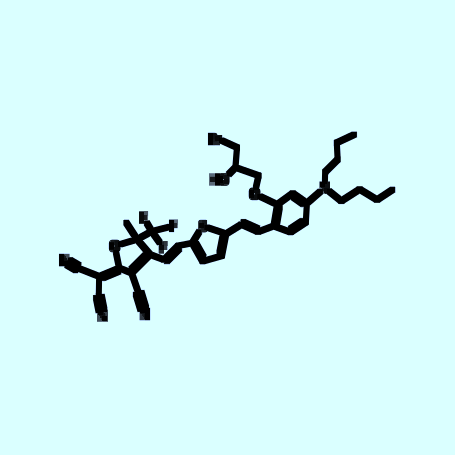 CCCCN(CCCC)c1ccc(/C=C/c2ccc(/C=C/C3=C(C#N)C(=C(C#N)C#N)OC3(C)C(F)(F)F)s2)c(OCC(O)CBr)c1